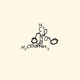 COc1ccc(CC(C)NC(=O)OCc2ccccc2)cc1S(N)(=O)=O